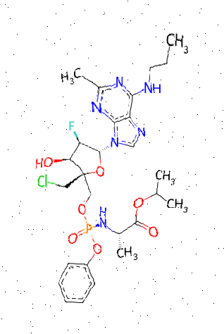 CCCNc1nc(C)nc2c1ncn2[C@@H]1O[C@](CCl)(CO[P@](=O)(N[C@@H](C)C(=O)OC(C)C)Oc2ccccc2)[C@@H](O)[C@H]1F